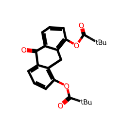 CC(C)(C)C(=O)Oc1cccc2c1Cc1c(OC(=O)C(C)(C)C)cccc1C2=O